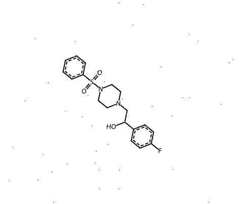 O=S(=O)(c1ccccc1)N1CCN(CC(O)c2ccc(F)cc2)CC1